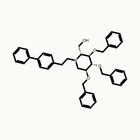 OC[C@@H]1[C@@H](OCc2ccccc2)[C@H](OCc2ccccc2)[C@@H](OCc2ccccc2)CN1CCc1ccc(-c2ccccc2)cc1